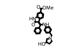 COC(=O)c1ccc2c(c1)NC(=O)C2=C(Nc1ccc(CN2CCC(O)C2)cc1)c1ccccc1